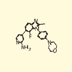 Cc1nc2ccc(-c3ccnc(N)c3)c(F)c2n1-c1ccc(N2CCOCC2)cc1